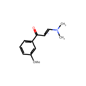 COc1cccc(C(=O)/C=C/N(C)C)c1